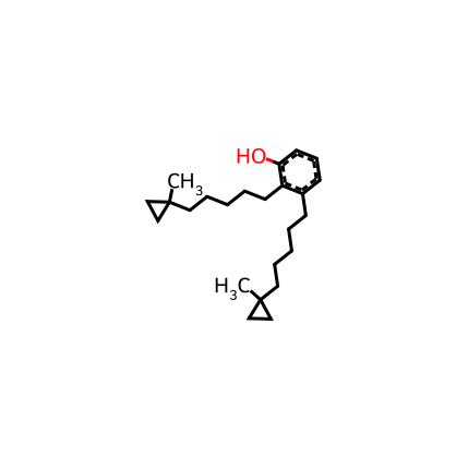 CC1(CCCCCc2cccc(O)c2CCCCCC2(C)CC2)CC1